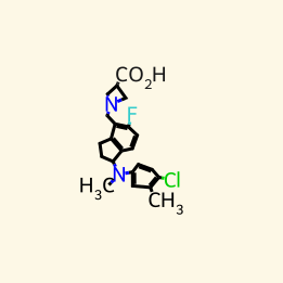 Cc1cc(N(C)C2CCc3c2ccc(F)c3CN2CC(C(=O)O)C2)ccc1Cl